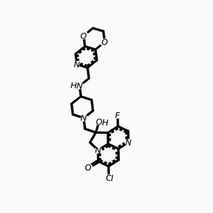 O=c1c(Cl)cc2ncc(F)c3c2n1CC3(O)CN1CCC(NCc2cc3c(cn2)OCCO3)CC1